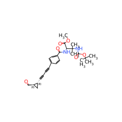 COC(=O)C(NC(=O)c1ccc(C#CC#C[C@@H]2C[C@H]2C=O)cc1)C(C)(C)NC(=O)OC(C)(C)C